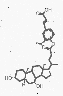 COc1cc(/C=C/C(=O)O)ccc1OC(=O)CC[C@@H](C)[C@H]1CCC2C3C(CC[C@@]21C)[C@@]1(C)CC[C@@H](O)C[C@H]1C[C@H]3O